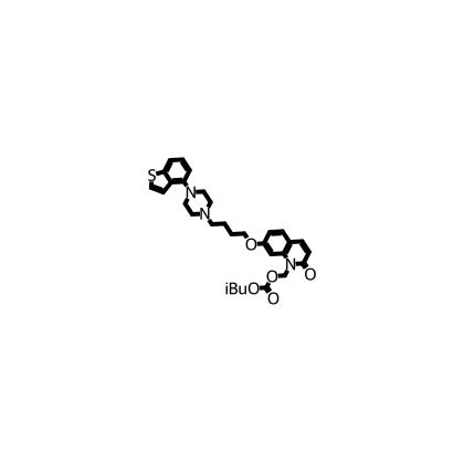 CC(C)COC(=O)OCn1c(=O)ccc2ccc(OCCCCN3CCN(c4cccc5sccc45)CC3)cc21